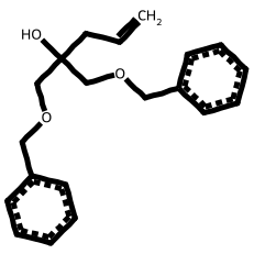 C=CCC(O)(COCc1ccccc1)COCc1ccccc1